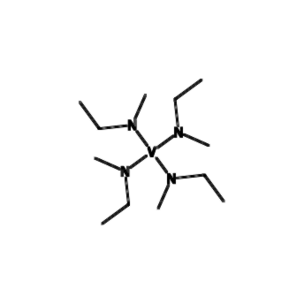 CC[N](C)[V]([N](C)CC)([N](C)CC)[N](C)CC